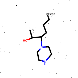 CCCCCCCCCCC(C(C)O)N1CCNCC1